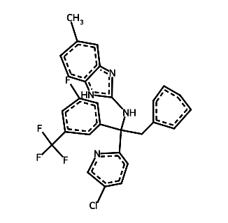 Cc1ccc2[nH]c(NC(Cc3ccccc3)(c3cc(F)cc(C(F)(F)F)c3)c3ccc(Cl)cn3)nc2c1